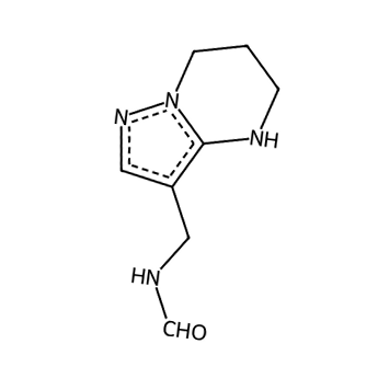 O=CNCc1cnn2c1NCCC2